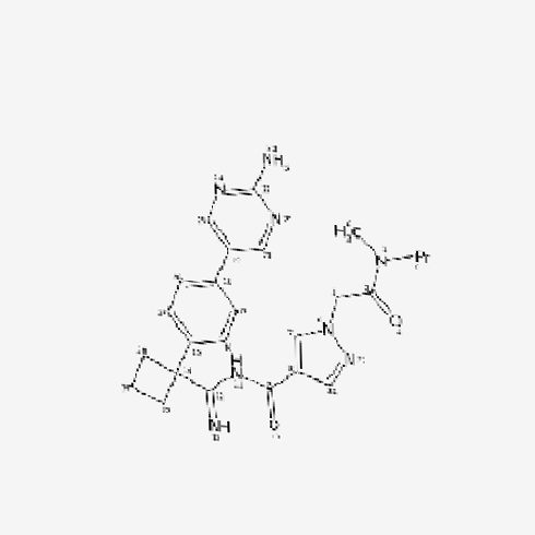 CC(C)N(C)C(=O)Cn1cc(C(=O)NC(=N)C2(c3ccc(-c4cnc(N)nc4)cc3)CCC2)cn1